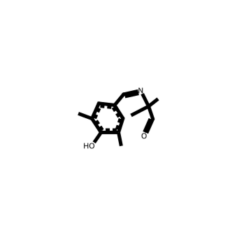 Cc1cc(/C=N\C(C)(C)C=O)cc(C)c1O